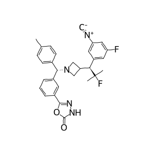 [C-]#[N+]c1cc(F)cc([C@H](C2CN([C@@H](c3ccc(C)cc3)c3cccc(-c4n[nH]c(=O)o4)c3)C2)C(C)(C)F)c1